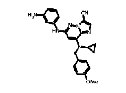 COc1ccc(CN(c2cc(Nc3cccc(N)c3)nn3c(C#N)cnc23)C2CC2)cc1